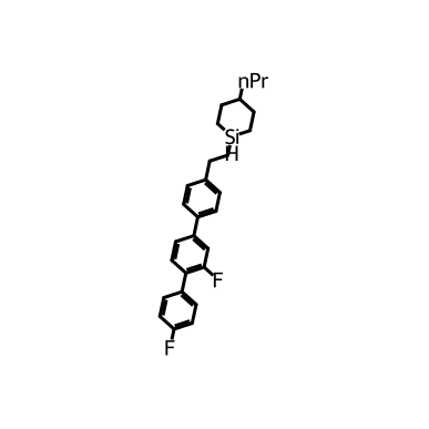 CCCC1CC[SiH](CCc2ccc(-c3ccc(-c4ccc(F)cc4)c(F)c3)cc2)CC1